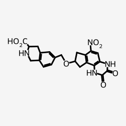 O=C(O)C1Cc2cc(COC3Cc4c([N+](=O)[O-])cc5[nH]c(=O)c(=O)[nH]c5c4C3)ccc2CN1